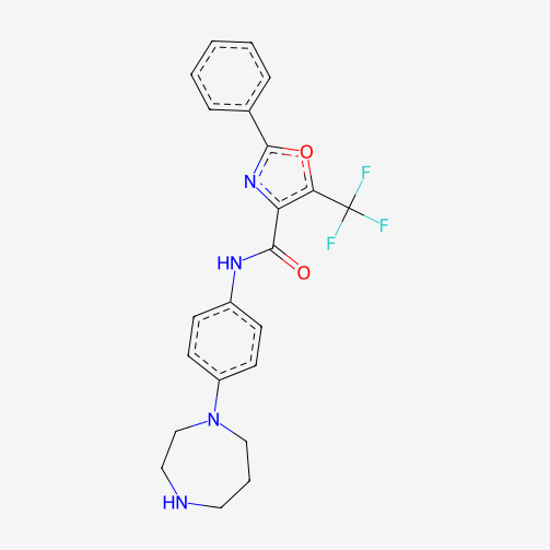 O=C(Nc1ccc(N2CCCNCC2)cc1)c1nc(-c2ccccc2)oc1C(F)(F)F